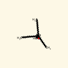 CCCCCCCCCCCCCCCCCC(=O)C(OC(=O)CCCCCCCCCCCCC)(C(=O)CCCCCCCCCCCCCCCCC)C(O)CO